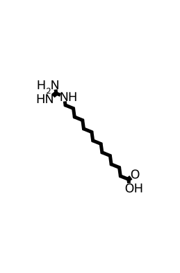 N=C(N)NCCCCCCCCCCCCCC(=O)O